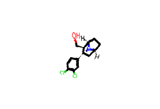 CN1[C@H]2CC[C@@H]1[C@H](CO)[C@@H](c1ccc(Cl)c(Cl)c1)C2